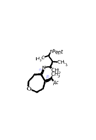 C=C(/N=C1/CCOCC/C1=C(/C)C(C)=O)C(C)C(C)CCCCC